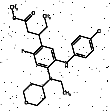 CCC(CC(=O)OC)c1cc(Nc2ccc(Cl)cc2)c(N(CC)C2CCOCC2)cc1F